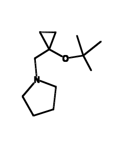 CC(C)(C)OC1(CN2CCCC2)CC1